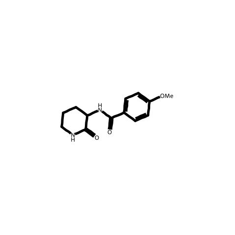 COc1ccc(C(=O)NC2CCCNC2=O)cc1